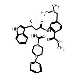 CNC(=O)c1ccc(CN(C)C)cc1NC(=O)[C@H](NC(=O)N1CCN(c2ccccc2)CC1)[C@@H](C)c1c[nH]c2ccccc12